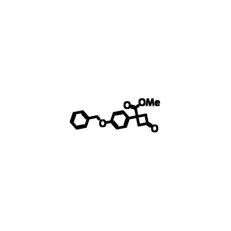 COC(=O)C1(c2ccc(OCc3ccccc3)cc2)CC(=O)C1